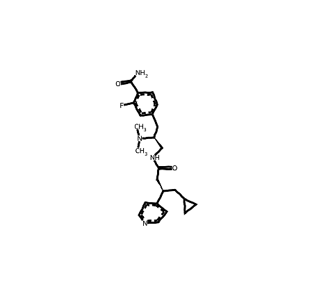 CN(C)[C@H](CNC(=O)C[C@@H](CC1CC1)c1ccncc1)Cc1ccc(C(N)=O)c(F)c1